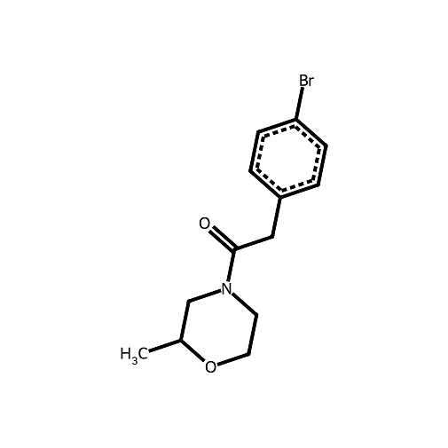 CC1CN(C(=O)Cc2ccc(Br)cc2)CCO1